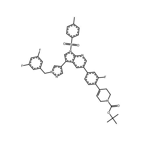 Cc1ccc(S(=O)(=O)n2cc(-c3cnn(Cc4cc(F)cc(F)c4)c3)c3cc(-c4ccc(C5=CCN(C(=O)OC(C)(C)C)CC5)c(F)c4)cnc32)cc1